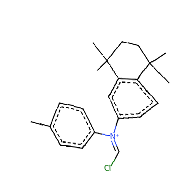 Cc1ccc([N+](=CCl)c2ccc3c(c2)C(C)(C)CCC3(C)C)cc1